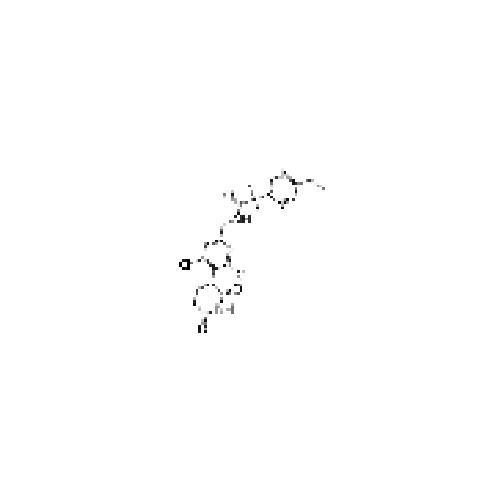 CCc1cnc(C(C)(C)C(=O)NCc2cc(Cl)c(C3CCC(=O)NC3=O)c(Cl)c2)cn1